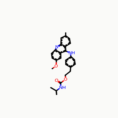 COc1ccc2nc3cc(C)ccc3c(Nc3ccc(CCOC(=O)NC(C)C)cc3)c2c1